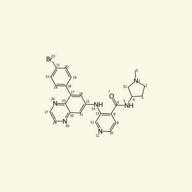 CN1CCC(NC(=O)c2ccncc2Nc2cc(-c3ccc(Br)cc3)c3nccnc3c2)C1